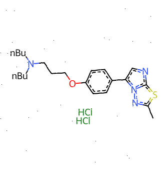 CCCCN(CCCC)CCCOc1ccc(-c2cnc3sc(C)nn23)cc1.Cl.Cl